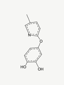 Cc1ccc(Oc2ccc(O)c(O)c2)nc1